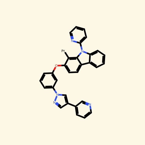 [Pt][c]1c(Oc2cccc(-n3cc(-c4cccnc4)cn3)c2)ccc2c3ccccc3n(-c3ccccn3)c12